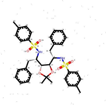 Cc1ccc(S(=O)(=O)N[C@@H](Cc2ccccc2)[C@H]2OC(C)(C)O[C@@H]2[C@H](Cc2ccccc2)NS(=O)(=O)c2ccc(C)cc2)cc1